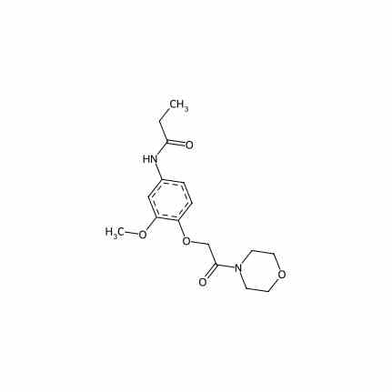 CCC(=O)Nc1ccc(OCC(=O)N2CCOCC2)c(OC)c1